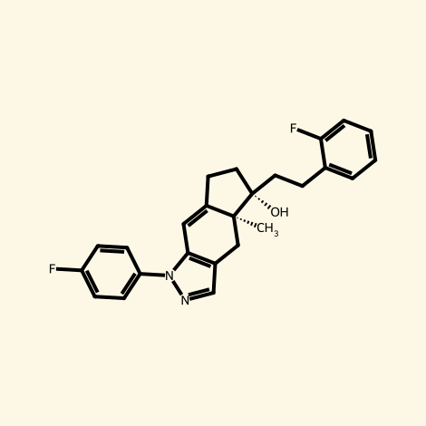 C[C@]12Cc3cnn(-c4ccc(F)cc4)c3C=C1CC[C@@]2(O)CCc1ccccc1F